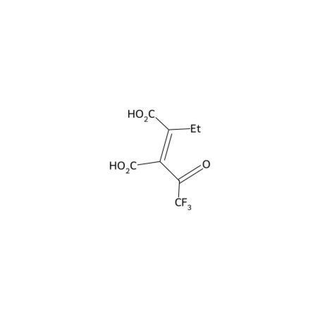 CCC(C(=O)O)=C(C(=O)O)C(=O)C(F)(F)F